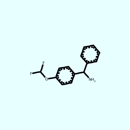 NC(c1ccccc1)c1ccc(OC(F)F)cc1